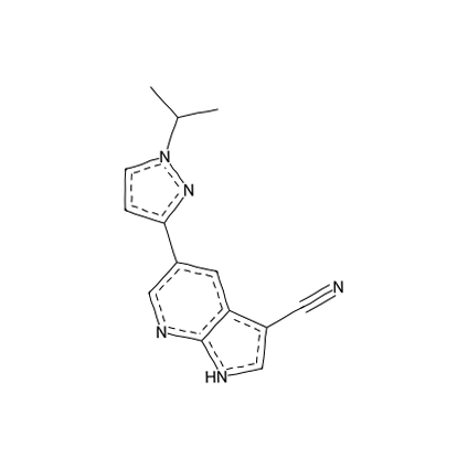 CC(C)n1ccc(-c2cnc3[nH]cc(C#N)c3c2)n1